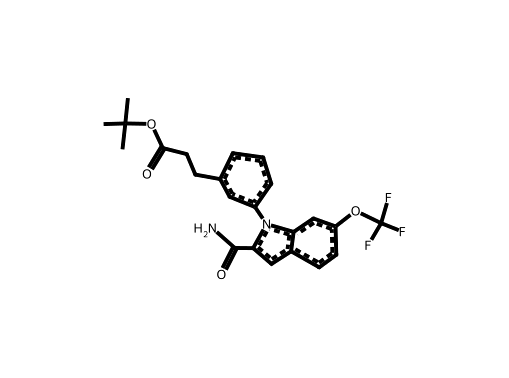 CC(C)(C)OC(=O)CCc1cccc(-n2c(C(N)=O)cc3ccc(OC(F)(F)F)cc32)c1